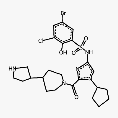 O=C(c1nc(NS(=O)(=O)c2cc(Br)cc(Cl)c2O)cn1C1CCCC1)N1CCC(C2CCNC2)CC1